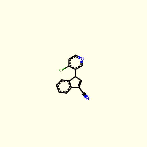 N#CC1=CC(c2cnccc2Cl)c2ccccc21